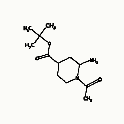 CC(=O)N1CCC(C(=O)OC(C)(C)C)CC1N